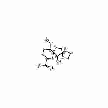 C=C(C)[C@H]1CC[C@H](CO)[C@]2(CCC3(OCCO3)C2C)C1